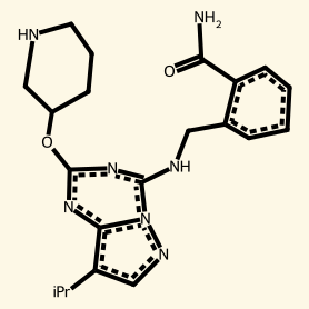 CC(C)c1cnn2c(NCc3ccccc3C(N)=O)nc(OC3CCCNC3)nc12